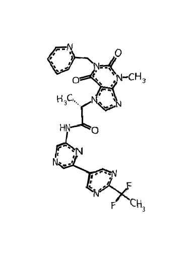 C[C@@H](C(=O)Nc1cncc(-c2cnc(C(C)(F)F)nc2)n1)n1cnc2c1c(=O)n(Cc1ccccn1)c(=O)n2C